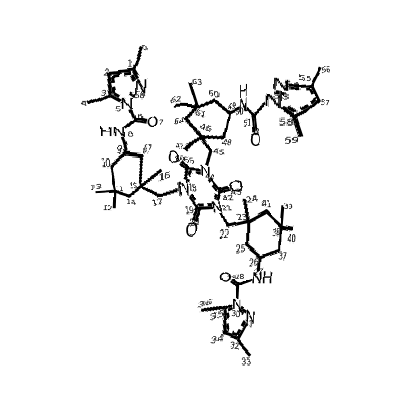 Cc1cc(C)n(C(=O)NC2CC(C)(C)CC(C)(Cn3c(=O)n(CC4(C)CC(NC(=O)n5nc(C)cc5C)CC(C)(C)C4)c(=O)n(CC4(C)CC(NC(=O)n5nc(C)cc5C)CC(C)(C)C4)c3=O)C2)n1